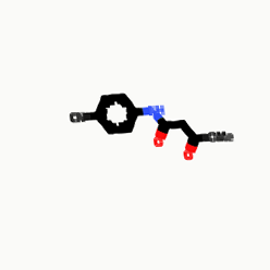 [C-]#[N+]c1ccc(NC(=O)CC(=O)OC)cc1